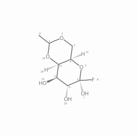 CC1OC[C@H]2O[C@@](O)(F)[C@H](O)[C@@H](O)[C@H]2O1